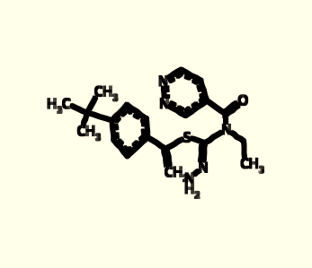 C=C(S/C(=N\N)N(CC)C(=O)c1ccnnc1)c1ccc(C(C)(C)C)cc1